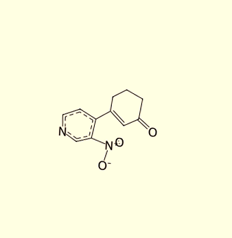 O=C1C=C(c2ccncc2[N+](=O)[O-])CCC1